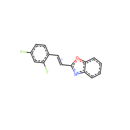 Fc1ccc(/C=C/c2nc3ccccc3o2)c(F)c1